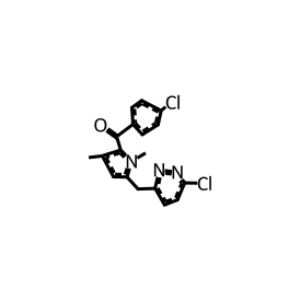 Cc1cc(Cc2ccc(Cl)nn2)n(C)c1C(=O)c1ccc(Cl)cc1